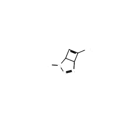 CC1=CC2C1N=NN2C